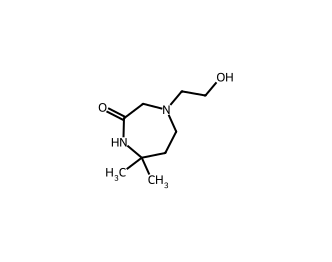 CC1(C)CCN(CCO)CC(=O)N1